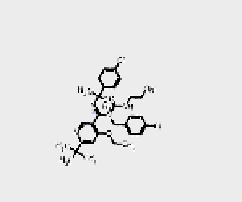 CCOc1cc(C(C)(C)C)ncc1/C(=N/C(C)(C)C1C=CC(Cl)=CC1)N(Cc1ccc(Cl)cc1)C(=O)NCCO